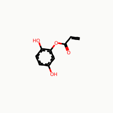 C=CC(=O)Oc1cc(O)ccc1O